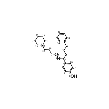 Oc1ccc(C(CCCc2ccccc2)=NOCCCN2CCCCC2)cc1